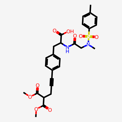 COC(=O)C(CC#Cc1ccc(CC(NC(=O)CN(C)S(=O)(=O)c2ccc(C)cc2)C(=O)O)cc1)C(=O)OC